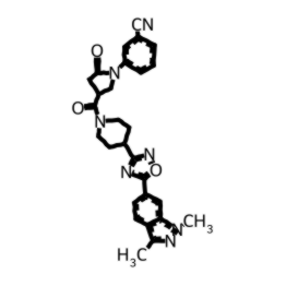 Cc1nn(C)c2cc(-c3nc(C4CCN(C(=O)C5CC(=O)N(c6cccc(C#N)c6)C5)CC4)no3)ccc12